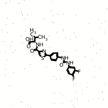 CC(C)[C@H](NC(=O)c1csc(-c2ccc(NC(=O)Nc3ccc(F)c(F)c3)cc2)n1)C(=O)O